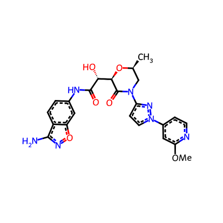 COc1cc(-n2ccc(N3C[C@H](C)O[C@H]([C@@H](O)C(=O)Nc4ccc5c(N)noc5c4)C3=O)n2)ccn1